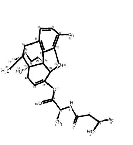 CC(=O)[C@@H](O)CC(=O)N[C@@H](C)C(=O)OC1=CC[C@@]2(O)[C@H]3Cc4ccc(O)c5c4[C@@]2(CCN3C)[C@H]1O5